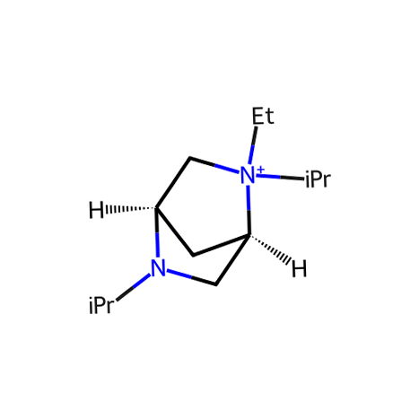 CC[N+]1(C(C)C)C[C@H]2C[C@@H]1CN2C(C)C